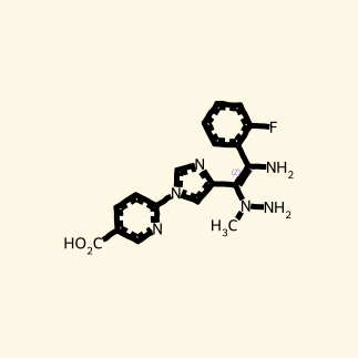 CN(N)/C(=C(\N)c1ccccc1F)c1cn(-c2ccc(C(=O)O)cn2)cn1